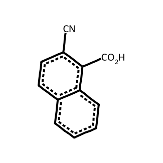 N#Cc1ccc2ccccc2c1C(=O)O